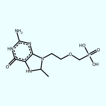 CC1Nc2c(nc(N)[nH]c2=O)N1CCOCP(=O)(O)O